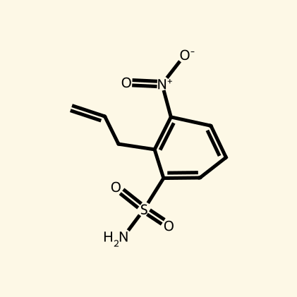 C=CCc1c([N+](=O)[O-])cccc1S(N)(=O)=O